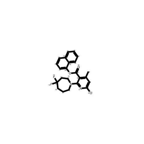 Cc1cc(Cl)nc(N2CCCC(F)(F)CC2)c1C(=O)Oc1cccc2ccccc12